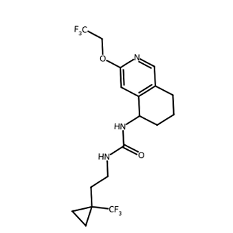 O=C(NCCC1(C(F)(F)F)CC1)NC1CCCc2cnc(OCC(F)(F)F)cc21